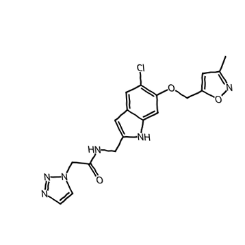 Cc1cc(COc2cc3[nH]c(CNC(=O)Cn4ccnn4)cc3cc2Cl)on1